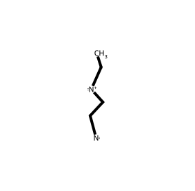 CC[N+]CC[N]